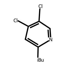 CCC(C)c1cc(Cl)c(Cl)cn1